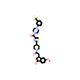 COc1ccc2c(c1)C(CC(=O)N1CCC(c3nc(C(=O)N4CCN(c5cccc(C(F)(F)F)c5)CC4)cs3)CC1)CC2=O